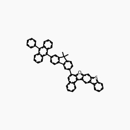 CC1(C)c2ccc(-c3cc4ccccc4c4c3oc3cc5sc6ccccc6c5cc34)cc2-c2ccc(-c3c4ccccc4c(-c4ccccc4)c4ccccc34)cc21